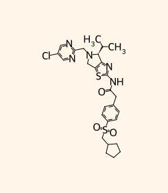 CC(C)[C@H]1c2nc(NC(=O)Cc3ccc(S(=O)(=O)CC4CCCC4)cc3)sc2CN1Cc1ncc(Cl)cn1